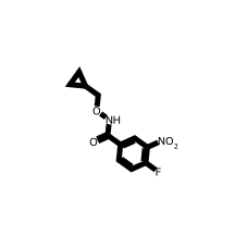 O=C(NOCC1CC1)c1ccc(F)c([N+](=O)[O-])c1